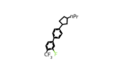 CCCC1CCC(c2ccc(-c3ccc(C(F)(F)F)c(F)c3)cc2)C1